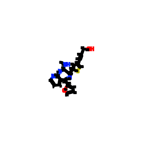 CNC1=Nc2ncccc2C(c2ccco2)=NC1c1cc(C#CCO)cs1